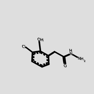 NNC(=O)Cc1cccc(Cl)c1O